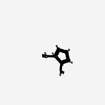 CC(C)c1nnnn1C#N